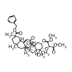 COC(=O)C(O[C@H]1CC[C@]2(C)[C@H]3C(=O)C=C4[C@@H]5C[C@@](C)(C(=O)OCc6ccccc6)CC[C@]5(C)CC[C@@]4(C)[C@]3(C)CC[C@H]2C1(C)C)C(=O)OC